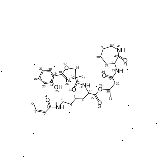 C/C=C\C(=O)NCCCCC(NC(=O)C1(C)COC(c2ccccc2O)=N1)C(=O)OC(C)CC(=O)NC1CCCCNC1=O